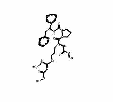 CC(C)(C)OC(=O)/N=C(/NCCC[C@H](NC(=O)OC(C)(C)C)C(=O)N1CCC[C@H]1C(=O)N[C@@H](Cc1ccccn1)c1ccccc1)NC(=O)O